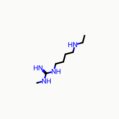 CCNCCCCNC(=N)NC